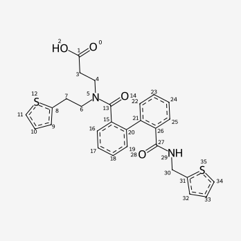 O=C(O)CCN(CCc1cccs1)C(=O)c1ccccc1-c1ccccc1C(=O)NCc1cccs1